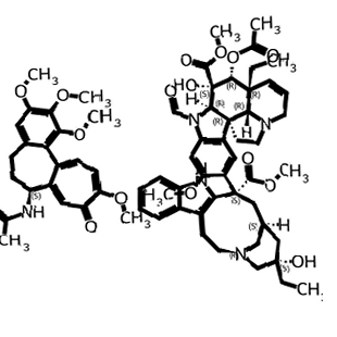 CC[C@]1(O)C[C@H]2C[N@](CCc3c([nH]c4ccccc34)[C@@](C(=O)OC)(c3cc4c(cc3OC)N(C=O)[C@H]3[C@@](O)(C(=O)OC)[C@H](OC(C)=O)[C@]5(CC)C=CCN6CC[C@]43[C@@H]65)C2)C1.COc1cc2c(c(OC)c1OC)-c1ccc(OC)c(=O)cc1[C@@H](NC(C)=O)CC2